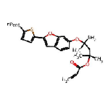 BC(C)(CC(C)(C)OC(=O)C=C)Oc1ccc2cc(-c3ccc(CCCCC)s3)oc2c1